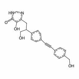 O=c1[nH]cnc(CC(CO)c2ccc(C#Cc3ccc(CO)cc3)cc2)c1O